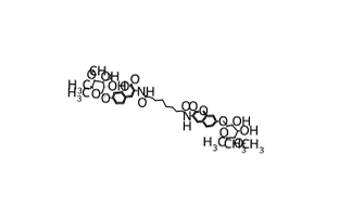 CO[C@@H]1C(O)[C@H](O)[C@H](Oc2ccc3cc(NC(=O)CCCCCCC(=O)Nc4cc5ccc(O[C@@H]6OC(C)(C)[C@H](OC)C(O)[C@@H]6O)cc5oc4=O)c(=O)oc3c2)OC1(C)C